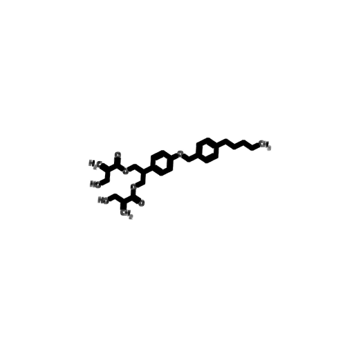 C=C(CO)C(=O)OCC(COC(=O)C(=C)CO)c1ccc(OCc2ccc(CCCCC)cc2)cc1